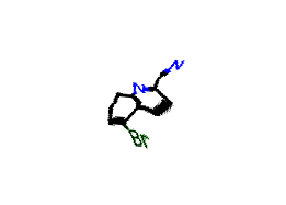 N#Cc1ccc2c(n1)CCC=C2Br